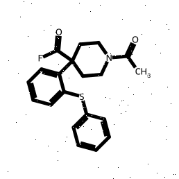 CC(=O)N1CCC(C(=O)F)(c2ccccc2Sc2ccccc2)CC1